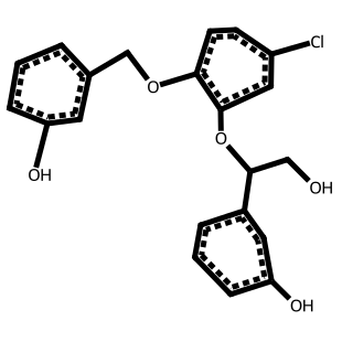 OCC(Oc1cc(Cl)ccc1OCc1cccc(O)c1)c1cccc(O)c1